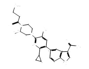 COCCC(=O)N1CCN(c2nc(C3CC3)c(-c3ccc4[nH]cc(C(=O)C(F)(F)F)c4c3)cc2C#N)C[C@H]1C